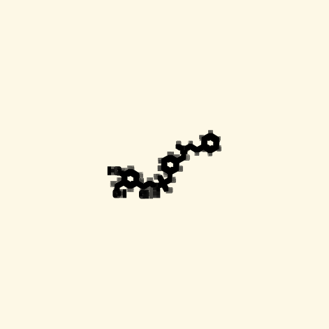 CN(CCc1ccccc1)Cc1cccc(CC(C)(C)NC[C@H](O)c2ccc(O)c(CO)c2)c1